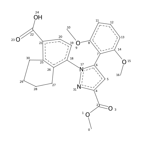 COC(=O)c1cc(-c2c(OC)cccc2OC)n(-c2ccc(C(=O)O)c3c2CCCC3)n1